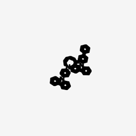 C=C1/C=C\C=C/CN(c2ccc(-n3c4ccccc4c4ccccc43)cc2)c2ccc3c4ccccc4n(-c4ccc(-c5ccccc5)cc4)c3c21